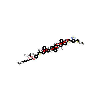 C=C(C)C(=O)OC(CCCCCCCCC)Oc1ccc(-c2ccc(-c3ccc4c(c3)C3(c5cc(-c6ccc7c(c6)C6(c8cc(-c9ccc%10c(c9)C9(c%11cc(-c%12ccc(-c%13ccc(-c%14ccc(C)s%14)c%14nsnc%13%14)s%12)ccc%11-%10)C%10(CCC)CCCC9(CCC)CCC%10)ccc8-7)C7(CC)CCCC6(CC)CCC7)ccc5-4)C4(C)CCCC3(C)CCC4)s2)cc1